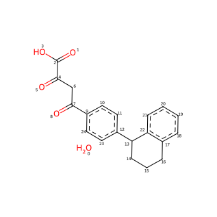 O.O=C(O)C(=O)CC(=O)c1ccc(C2CCCc3ccccc32)cc1